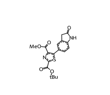 COC(=O)c1nc(C(=O)OC(C)(C)C)sc1-c1ccc2c(c1)CC(=O)N2